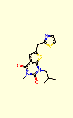 CC(C)Cn1c(=O)n(C)c(=O)c2cc(Cc3nccs3)sc21